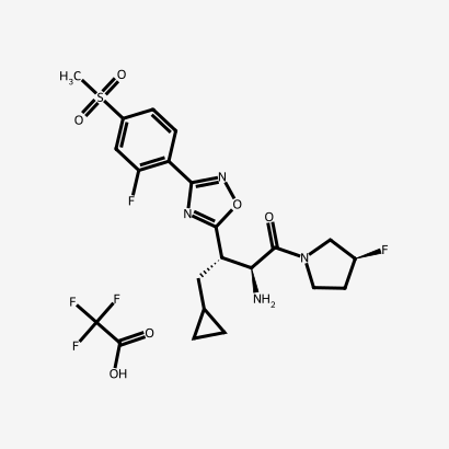 CS(=O)(=O)c1ccc(-c2noc([C@@H](CC3CC3)[C@H](N)C(=O)N3CC[C@H](F)C3)n2)c(F)c1.O=C(O)C(F)(F)F